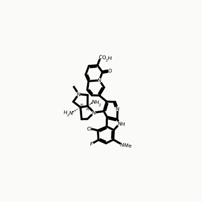 CNc1cc(F)c(Cl)c2c1[nH]c1ncc(-c3ccc4ccc(C(=O)O)c(=O)n4c3)c(N3CC[C@@]4(N)CN(C)C[C@@]34N)c12